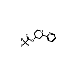 O=C(OC1CCOC(c2ccccn2)C1)C(F)(F)F